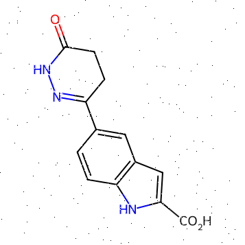 O=C1CCC(c2ccc3[nH]c(C(=O)O)cc3c2)=NN1